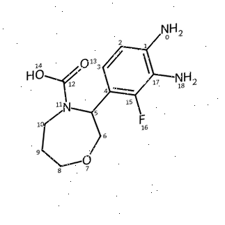 Nc1ccc(C2COCCCN2C(=O)O)c(F)c1N